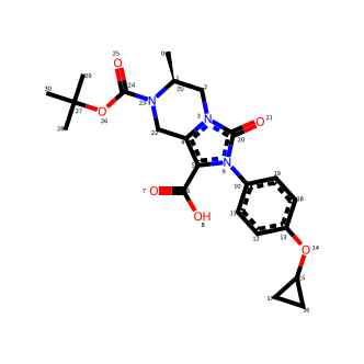 C[C@H]1Cn2c(c(C(=O)O)n(-c3ccc(OC4CC4)cc3)c2=O)CN1C(=O)OC(C)(C)C